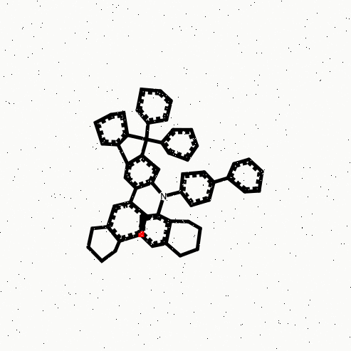 Cc1cc2c(cc1-c1cc3c(cc1N(c1ccc(-c4ccccc4)cc1)c1cccc4c1CCCC4)C(c1ccccc1)(c1ccccc1)c1ccccc1-3)CCCC2